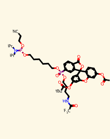 CC(C)N(C(C)C)P(OCCC#N)OCCCCCCOP(=O)(OCCCCNC(=O)C(F)(F)F)c1ccc2c(c1)C1(OC2=O)c2ccc(OC(=O)C(C)(C)C)cc2Oc2cc(OC(=O)C(C)(C)C)ccc21